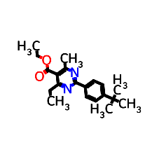 CCOC(=O)c1c(C)nc(-c2ccc(C(C)(C)C)cc2)nc1CC